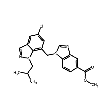 COC(=O)c1ccc2c(c1)ncn2Cc1cc(Cl)cc2cnn(CC(C)C)c12